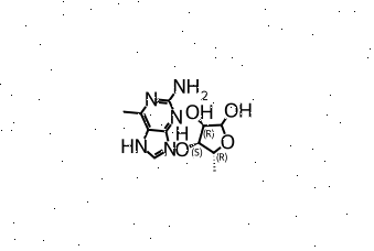 C[C@H]1OC(O)[C@H](O)[C@@H]1O.Cc1nc(N)nc2nc[nH]c12